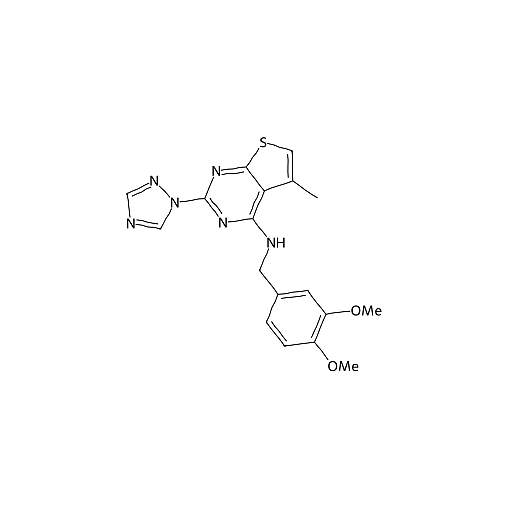 COc1ccc(CNc2nc(-n3cncn3)nc3scc(C)c23)cc1OC